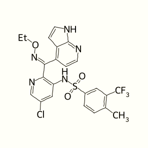 CCO/N=C(/c1ncc(Cl)cc1NS(=O)(=O)c1ccc(C)c(C(F)(F)F)c1)c1ccnc2[nH]ccc12